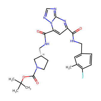 Cc1cc(CNC(=O)c2cc(C(=O)NC[C@@H]3CCN(C(=O)OC(C)(C)C)C3)n3ncnc3n2)ccc1F